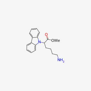 COC(=O)C(CCCCN)n1c2ccccc2c2ccccc21